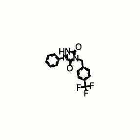 O=c1[nH]n(-c2ccccc2)c(=O)n1Cc1ccc(C(F)(F)F)cc1